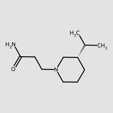 CC(C)[C@@H]1CCCN(CCC(N)=O)C1